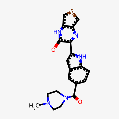 CN1CCN(C(=O)c2ccc3[nH]c(-c4nc5cscc5[nH]c4=O)cc3c2)CC1